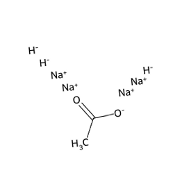 CC(=O)[O-].[H-].[H-].[H-].[Na+].[Na+].[Na+].[Na+]